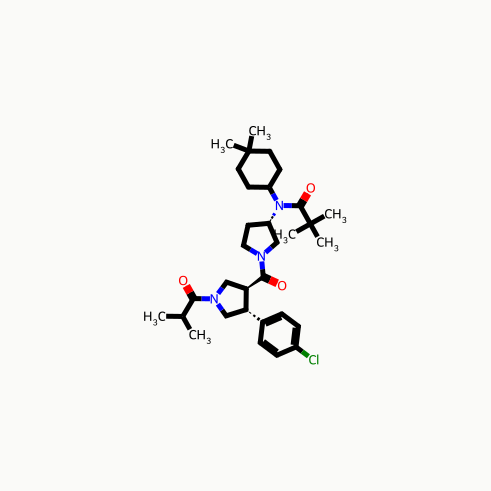 CC(C)C(=O)N1C[C@@H](C(=O)N2CC[C@H](N(C(=O)C(C)(C)C)C3CCC(C)(C)CC3)C2)[C@H](c2ccc(Cl)cc2)C1